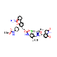 COc1cc(NC(=O)OCCc2ccc(-c3ccccc3)c(OC(N)=O)c2[C@H]2CC[C@H](NC(=O)OC(C)(C)C)CC2)c(Cl)cc1CNC[C@H](O[Si](C)(C)C(C)(C)C)c1ccc(O)c2[nH]c(=O)ccc12